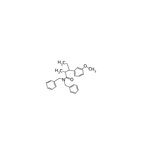 CCC(c1cccc(OC)c1)C(C)C(=O)N(Cc1ccccc1)Cc1ccccc1